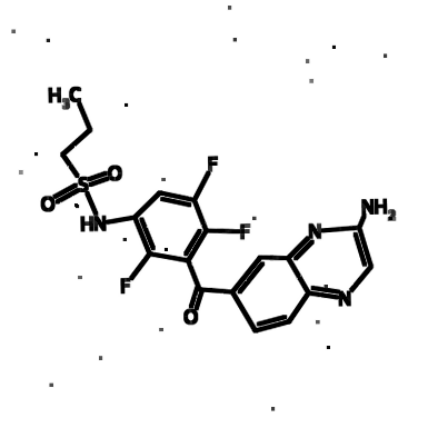 CCCS(=O)(=O)Nc1cc(F)c(F)c(C(=O)c2ccc3ncc(N)nc3c2)c1F